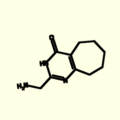 NCc1nc2c(c(=O)[nH]1)CCCCC2